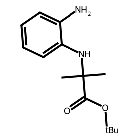 CC(C)(C)OC(=O)C(C)(C)Nc1ccccc1N